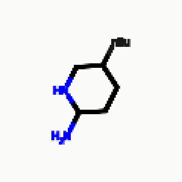 CCCCC1CCC(N)NC1